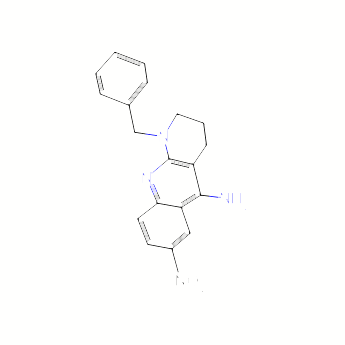 Nc1c2c(nc3ccc([N+](=O)[O-])cc13)N(Cc1ccccc1)CCC2